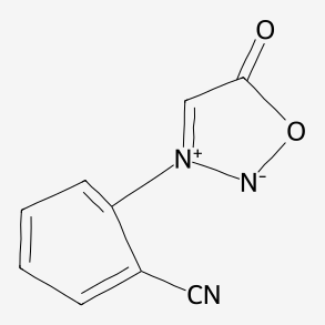 N#Cc1ccccc1-[n+]1cc(=O)o[n-]1